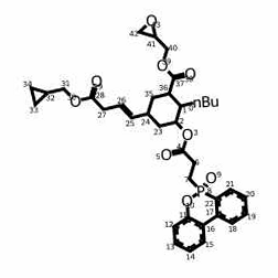 CCCCC1C(OC(=O)CCP2(=O)Oc3ccccc3-c3ccccc32)CC(/C=C/CC(=O)OCC2CC2)CC1C(=O)OCC1CO1